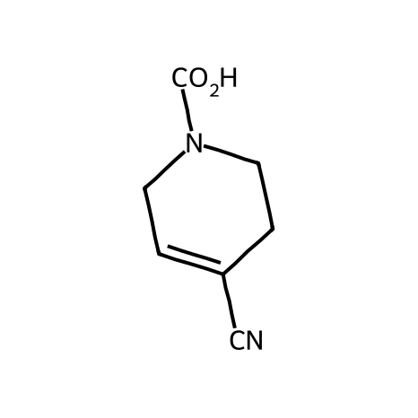 N#CC1=CCN(C(=O)O)CC1